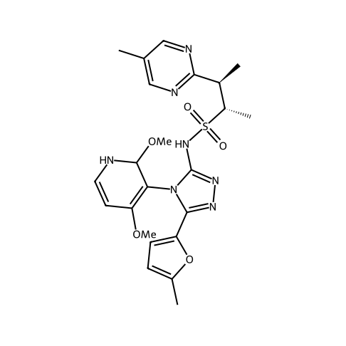 COC1=C(n2c(NS(=O)(=O)[C@@H](C)[C@H](C)c3ncc(C)cn3)nnc2-c2ccc(C)o2)C(OC)NC=C1